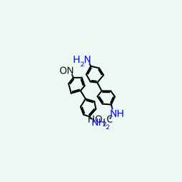 Nc1ccc(-c2ccc(N=O)cc2)cc1.Nc1ccc(-c2ccc(NC(=O)O)cc2)cc1